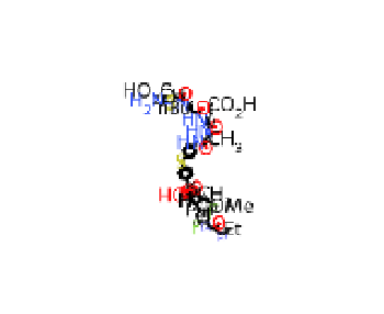 CC/C=C\C(=O)/C=C1\C[C@@]2(F)[C@@H](OC)C[C@@]3(C)[C@@H](C[C@H]4O[C@@H](c5ccc(Sc6ccc(NC(=O)[C@H](C)NC(=O)[C@H](CCC(=O)O)NC(=O)CCNC(=O)C(CC(=O)O)SC(C)(N)CCCC)cc6)cc5)O[C@]43C(=O)CO)[C@@H]2C[C@@H]1F